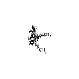 C=CCCCOc1cccc2c1C(=O)c1c(OCCCC=C)cc(C(=O)N=[N+]=[N-])cc1C2=O